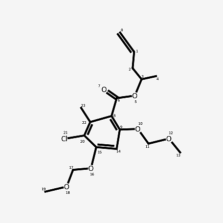 C=CCC(C)OC(=O)c1c(OCOC)cc(OCOC)c(Cl)c1C